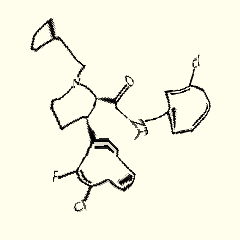 O=C(Nc1cccc(Cl)c1)[C@H]1[C@@H](c2cccc(Cl)c2F)CCN1CC1CC1